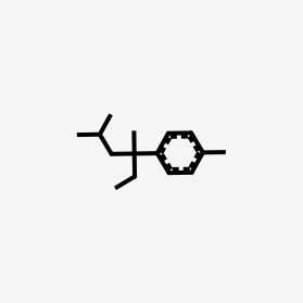 CCC(C)(CC(C)C)c1ccc(C)cc1